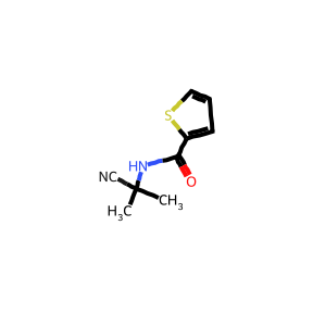 CC(C)(C#N)NC(=O)c1cccs1